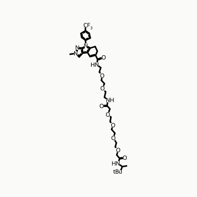 CC(NC(=O)COCCOCCOCCOCC(=O)NCCOCCOCCNC(=O)C1=Cc2c(n(-c3ccc(C(F)(F)F)cc3)c3nn(C)cc23)CC1)C(C)(C)C